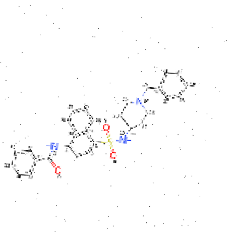 O=C(Nc1ccc(S(=O)(=O)NC2CCN(Cc3ccccc3)CC2)c2ccccc12)c1ccccc1